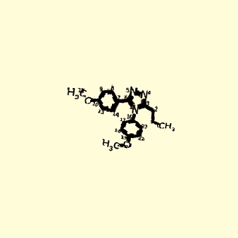 CCCc1nnc(-c2ccc(OC)cc2)n1-c1ccc(OC)cc1